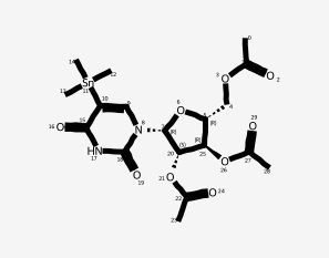 CC(=O)OC[C@H]1O[C@@H](n2c[c]([Sn]([CH3])([CH3])[CH3])c(=O)[nH]c2=O)[C@@H](OC(C)=O)[C@@H]1OC(C)=O